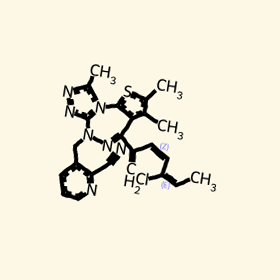 C=C(/C=C\C(Cl)=C/C)C1=NN(Cc2cccnc2C#N)c2nnc(C)n2-c2sc(C)c(C)c21